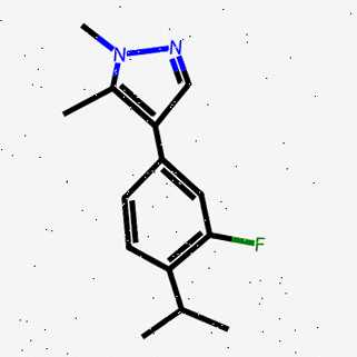 Cc1c(-c2ccc(C(C)C)c(F)c2)cnn1C